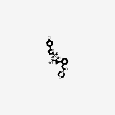 O=C(Cc1ccccc1C1CC1(NS(=O)(=O)C1CC=C(c2ccc(Cl)cc2)S1)C(=O)O)N1CCOCC1